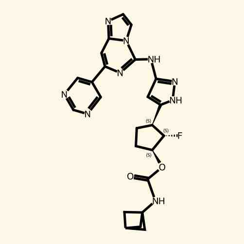 O=C(NC12CC(C1)C2)O[C@H]1CC[C@@H](c2cc(Nc3nc(-c4cncnc4)cc4nccn34)n[nH]2)[C@@H]1F